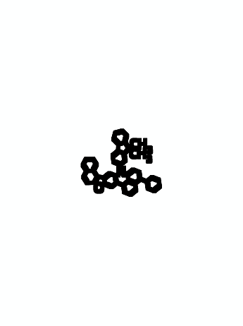 CC1(C)c2ccccc2-c2ccc(N(c3ccc(-c4ccccc4)cc3)c3cc4c(cc3-c3ccccc3)oc3ccc5ccccc5c34)cc21